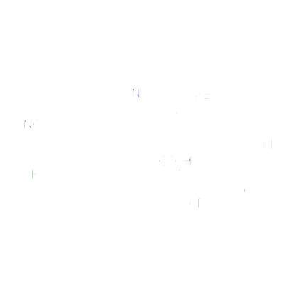 N#Cc1cc(C2N=CC(c3cc(Cl)c(Cl)c(Cl)c3)(C(F)(F)F)C2C(=O)O)ccc1F